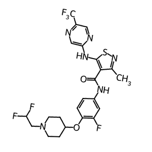 Cc1nsc(Nc2cnc(C(F)(F)F)cn2)c1C(=O)Nc1ccc(OC2CCN(CC(F)F)CC2)c(F)c1